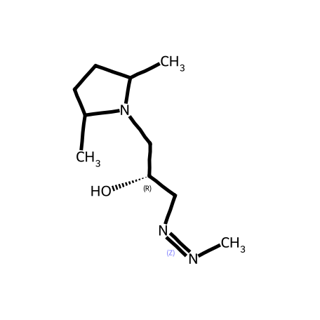 C/N=N\C[C@H](O)CN1C(C)CCC1C